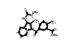 COC(=O)c1cc(C(=O)c2c(C)c(NC(=O)OC(C)(C)C)c3ccccn23)ccc1N